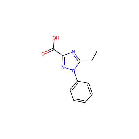 CCc1nc(C(=O)O)nn1-c1ccccc1